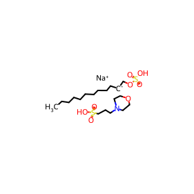 CCCCCCCCCC[CH-]COS(=O)(=O)O.O=S(=O)(O)CCCN1CCOCC1.[Na+]